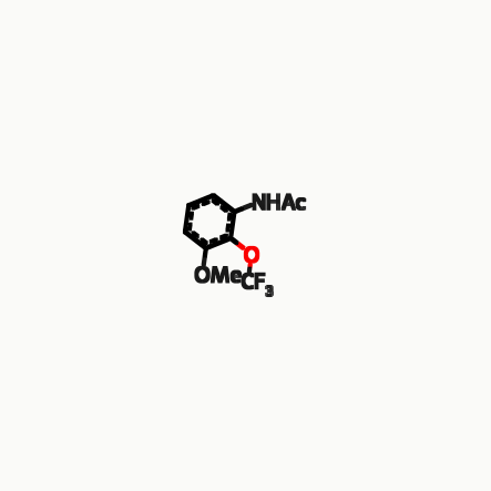 COc1cccc(NC(C)=O)c1OC(F)(F)F